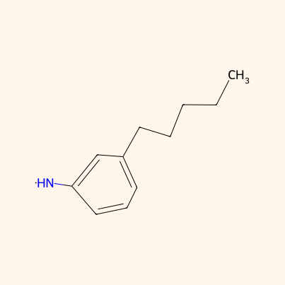 CCCCCc1cccc([NH])c1